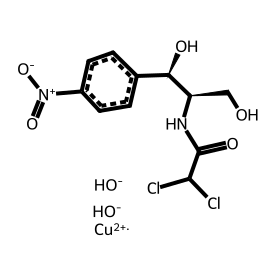 O=C(N[C@H](CO)[C@H](O)c1ccc([N+](=O)[O-])cc1)C(Cl)Cl.[Cu+2].[OH-].[OH-]